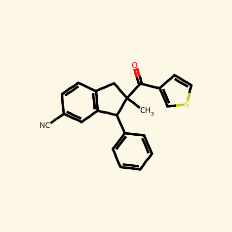 CC1(C(=O)c2ccsc2)Cc2ccc(C#N)cc2C1c1ccccc1